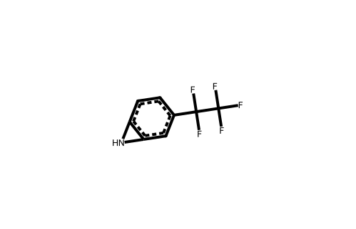 FC(F)(F)C(F)(F)c1ccc2c(c1)N2